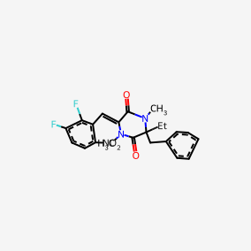 CCC1(Cc2ccccc2)C(=O)N(C)C(=Cc2c([N+](=O)[O-])ccc(F)c2F)C(=O)N1C